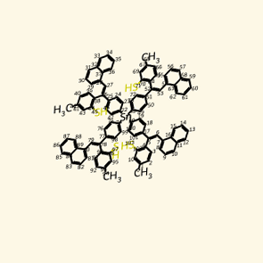 Cc1ccc(C(=Cc2cccc3ccccc23)c2cc[c]([Sn]([c]3ccc(C(=Cc4cccc5ccccc45)c4ccc(C)cc4S)cc3)([c]3ccc(C(=Cc4cccc5ccccc45)c4ccc(C)cc4S)cc3)[c]3ccc(C(=Cc4cccc5ccccc45)c4ccc(C)cc4S)cc3)cc2)c(S)c1